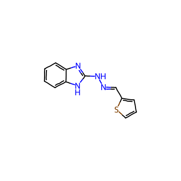 C(=N\Nc1nc2ccccc2[nH]1)/c1cccs1